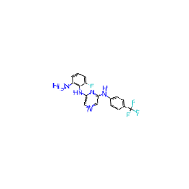 Nc1cccc(F)c1Nc1cncc(Nc2ccc(C(F)(F)F)cc2)n1